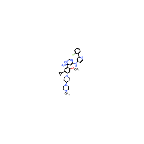 COc1cc(N2CCC(N3CCN(C)CC3)CC2)c(C2CC2)cc1C1(N)C=C(Nc2ccnc(-c3ccccc3F)c2)N=CN1